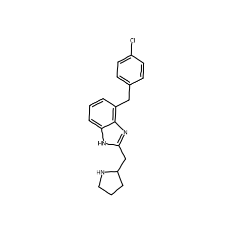 Clc1ccc(Cc2cccc3[nH]c(CC4CCCN4)nc23)cc1